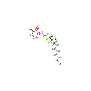 C=C(CO)C(=O)OCCCC(F)(F)C(F)(F)C(F)(F)CCCCCCC